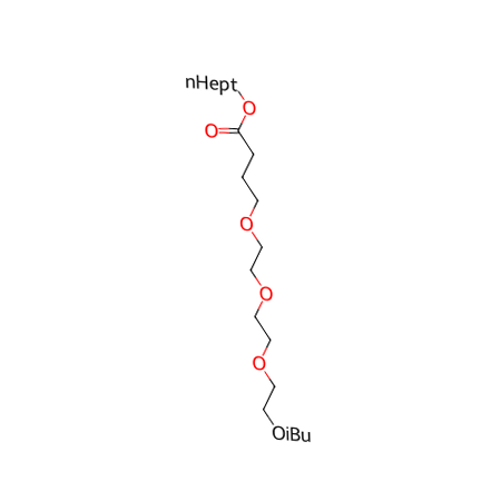 CCCCCCCOC(=O)CCCOCCOCCOCCOCC(C)C